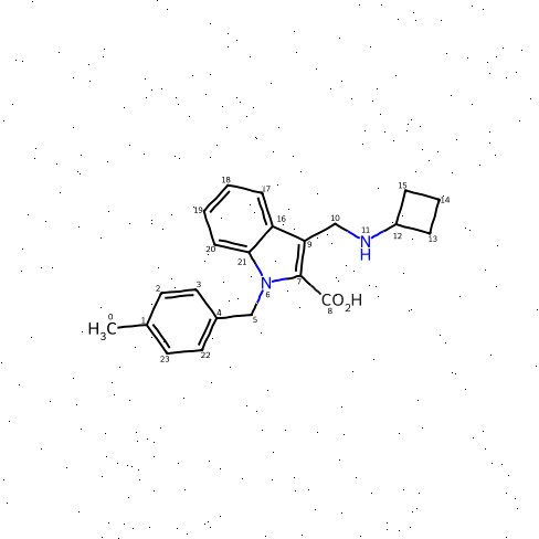 Cc1ccc(Cn2c(C(=O)O)c(CNC3CCC3)c3ccccc32)cc1